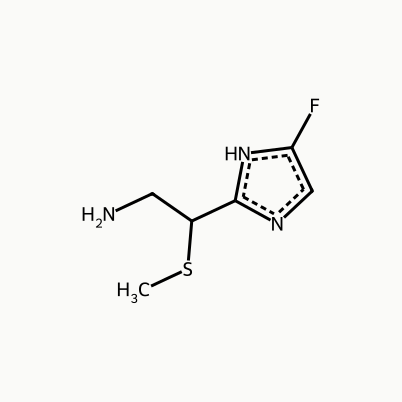 CSC(CN)c1ncc(F)[nH]1